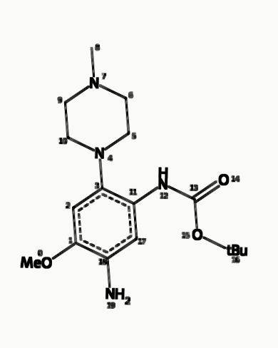 COc1cc(N2CCN(C)CC2)c(NC(=O)OC(C)(C)C)cc1N